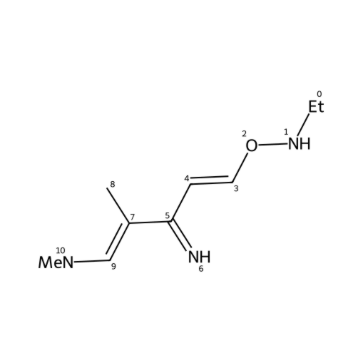 CCNO/C=C/C(=N)/C(C)=C/NC